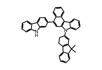 CC1(C)C2=C(CCC(n3c4ccccc4c4c5ccccc5c(-c5ccc6c(c5)[nH]c5ccccc56)cc43)=C2)c2ccccc21